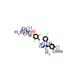 COc1cc(C(C)(C)c2cnc(SCc3c(F)cc(S(=O)(=O)NCC[N+](C)(C)C)cc3F)n2-c2ccc(F)cc2)ccc1Cl